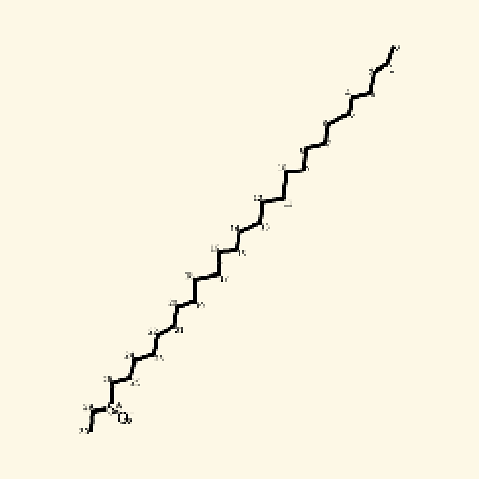 CCCCCCCCCCCCCCCCCCCCCCCCCCC[S+]([O-])CC